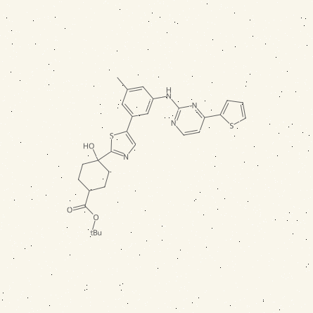 Cc1cc(Nc2nccc(-c3cccs3)n2)cc(-c2cnc(C3(O)CCC(C(=O)OC(C)(C)C)CC3)s2)c1